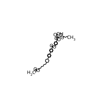 C=CC(=O)OCCCCCCC1CCC(c2ccc(-c3ccc(C(=O)Oc4ccc(C5O[C@@H](C(=O)O)[C@H](C(=O)OCCCC)O5)cc4)cc3)cc2)CC1